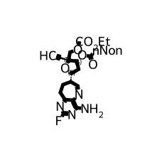 C#C[C@]1(COC(=O)OCC)O[C@@H](C2C=Nc3c(N)nc(F)nc3CC2)C[C@@H]1OC(=O)CCCCCCCCC